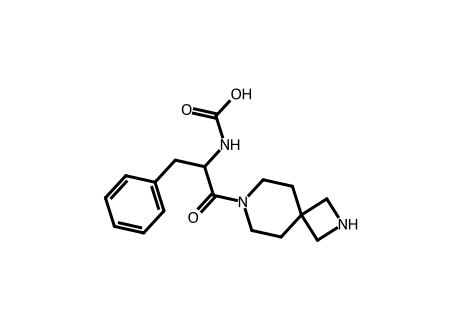 O=C(O)NC(Cc1ccccc1)C(=O)N1CCC2(CC1)CNC2